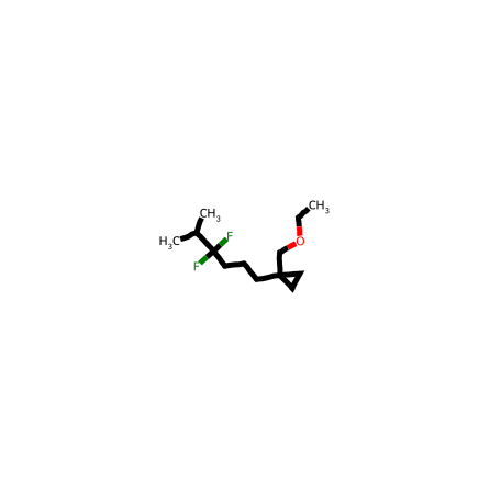 CCOCC1(CCCC(F)(F)C(C)C)CC1